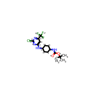 CC(C)(C)OC(=O)NC1CCC(Nc2cc(C(F)(F)F)nc(Cl)n2)CC1